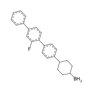 BC1CCC(c2ccc(-c3ccc(-c4ccccc4)cc3F)cc2)CC1